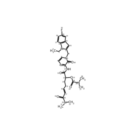 CCn1c(Cn2ccnc(NC(=O)C(CC/C=C/C(=O)N(C)C)OC(=O)N(C)C)c2=O)cc2cc(F)ccc21